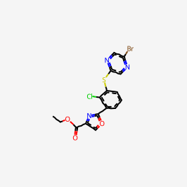 CCOC(=O)c1coc(-c2cccc(Sc3cnc(Br)cn3)c2Cl)n1